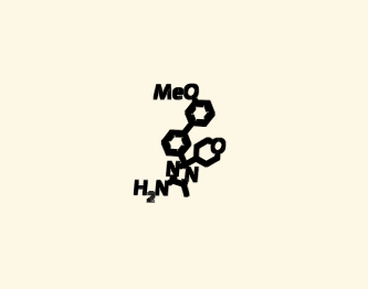 COc1cccc(-c2cccc(C3(C4CCOCC4)N=C(C)C(N)=N3)c2)c1